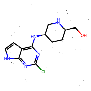 OC[C@H]1CC[C@@H](Nc2nc(Cl)nc3[nH]ccc23)CN1